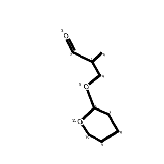 CC(C=O)COC1CCCCO1